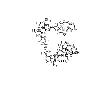 CN[C@H](C(=O)NC(C(=O)N(C)[C@H](/C=C(\C)C(=O)O)C(C)C)C(C)(C)C)C(C)(C)c1cccc(NC(=O)OCc2ccc(NC(=O)[C@H](C)NC(=O)C(NC(=O)CCCCC(=O)N3Cc4ccccc4C#Cc4ccccc43)C(C)C)cc2)c1